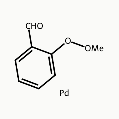 COOc1ccccc1C=O.[Pd]